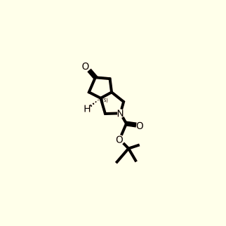 CC(C)(C)OC(=O)N1CC2CC(=O)C[C@@H]2C1